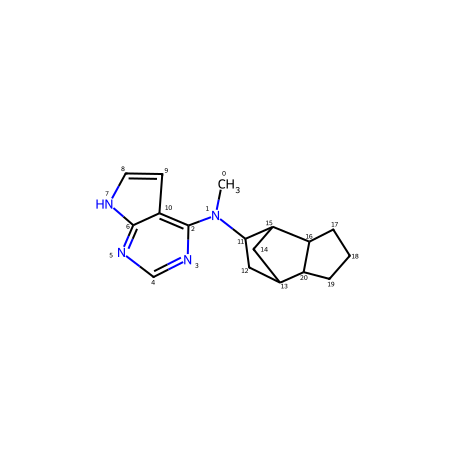 CN(c1ncnc2[nH]ccc12)C1CC2CC1C1CCCC21